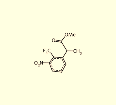 COC(=O)C(C)c1cccc([N+](=O)[O-])c1C(F)(F)F